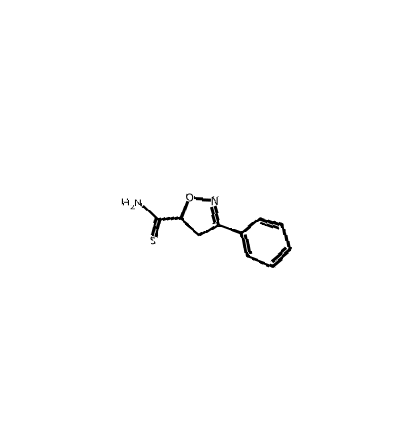 NC(=S)C1CC(c2ccccc2)=NO1